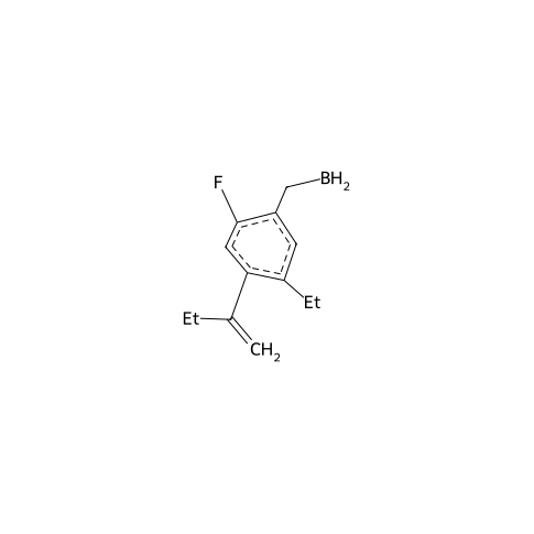 BCc1cc(CC)c(C(=C)CC)cc1F